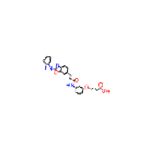 O=C(O)CCCOc1cccc(NC(=O)CCc2ccc3nc(Nc4ccccc4)oc3c2)c1